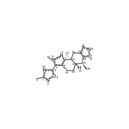 Cc1noc(-c2c3c(nn2C)[C@@]2(C)Cc4cnoc4[C@@H](C)[C@@H]2CC3)n1